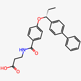 CC[C@@H](Oc1ccc(C(=O)NCCC(=O)O)cc1)c1ccc(-c2ccccc2)cc1